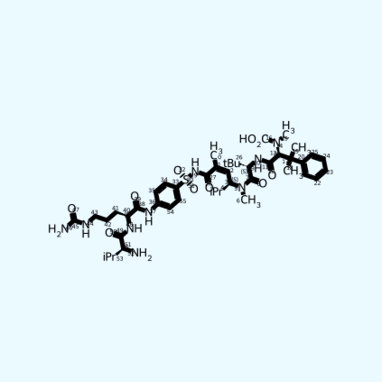 CC(=C[C@H](C(C)C)N(C)C(=O)[C@@H](NC(=O)[C@@H](N(C)C(=O)O)C(C)(C)c1ccccc1)C(C)(C)C)C(=O)NS(=O)(=O)c1ccc(NC(=O)[C@H](CCCNC(N)=O)NC(=O)[C@@H](N)C(C)C)cc1